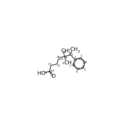 CC(c1ccccc1)C(C)(C)SCCC(=O)O